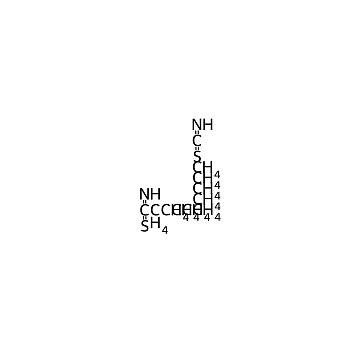 C.C.C.C.C.C.C.C.C.N=C=S.N=C=S